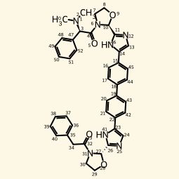 CN(C)[C@@H](C(=O)N1CCO[C@H]1c1ncc(-c2ccc(-c3ccc(-c4cnc([C@@H]5OCCN5C(=O)Cc5ccccc5)[nH]4)cc3)cc2)[nH]1)c1ccccc1